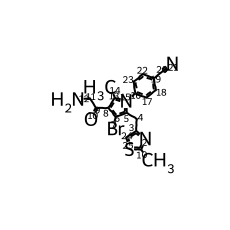 Cc1nc(Cc2c(Br)c(C(=O)CN)c(C)n2-c2ccc(C#N)cc2)cs1